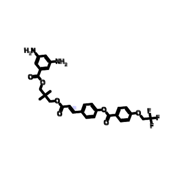 CC(C)(COC(=O)/C=C/c1ccc(OC(=O)c2ccc(OCC(F)(F)F)cc2)cc1)COC(=O)c1cc(N)cc(N)c1